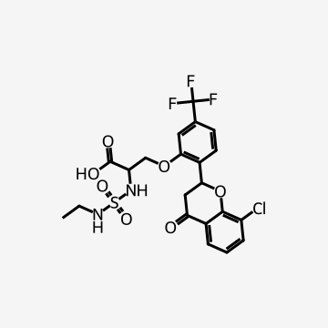 CCNS(=O)(=O)NC(COc1cc(C(F)(F)F)ccc1C1CC(=O)c2cccc(Cl)c2O1)C(=O)O